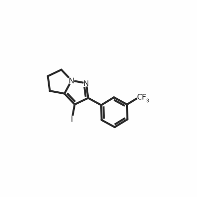 FC(F)(F)c1cccc(-c2nn3c(c2I)CCC3)c1